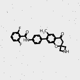 Cc1cc2c(cc1-c1ccc(NC(=O)c3c(F)cccc3F)cc1)OC1(CNC1)CC2=O